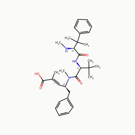 CN[C@H](C(=O)N[C@H](C(=O)N(C)[C@H](/C=C(\C)C(=O)O)Cc1ccccc1)C(C)(C)C)C(C)(C)c1ccccc1